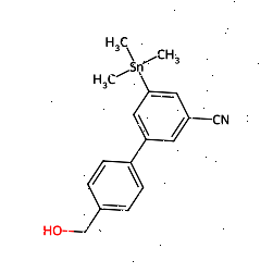 [CH3][Sn]([CH3])([CH3])[c]1cc(C#N)cc(-c2ccc(CO)cc2)c1